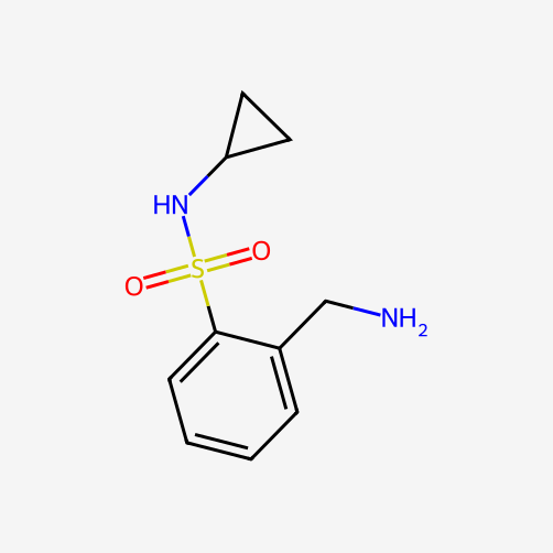 NCc1ccccc1S(=O)(=O)NC1CC1